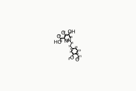 COc1cc(CCn2cc(O)c(=O)c(C(=O)O)n2)ccc1C=O